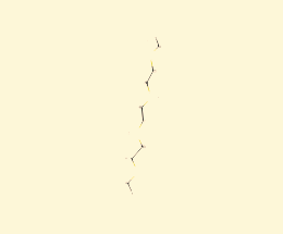 O=C(O)CSCCSCCSCCSCC(=O)O